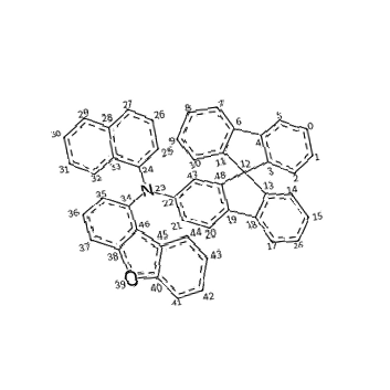 c1ccc2c(c1)-c1ccccc1C21c2ccccc2-c2ccc(N(c3cccc4ccccc34)c3cccc4oc5ccccc5c34)cc21